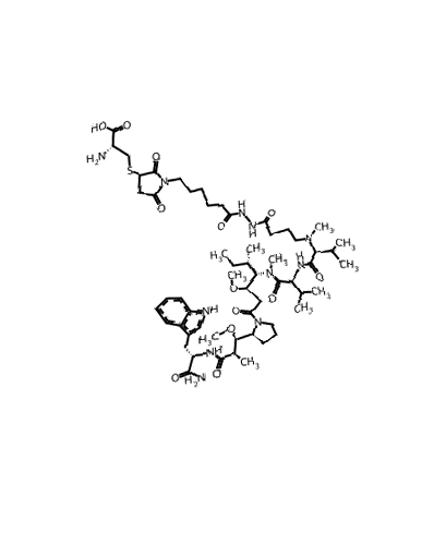 CC[C@H](C)[C@@H]([C@@H](CC(=O)N1CCC[C@H]1[C@H](OC)[C@@H](C)C(=O)N[C@@H](Cc1c[nH]c2ccccc12)C(N)=O)OC)N(C)C(=O)[C@@H](NC(=O)[C@H](C(C)C)N(C)CCCC(=O)NNC(=O)CCCCCN1C(=O)CC(SC[C@H](N)C(=O)O)C1=O)C(C)C